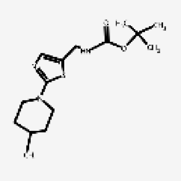 CC1CCN(c2ncc(CNC(=O)OC(C)(C)C)s2)CC1